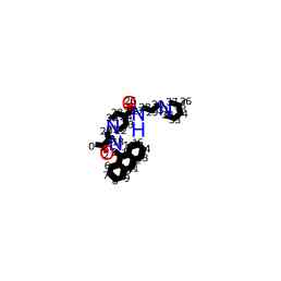 Cc1oc(-c2c3ccccc3cc3ccccc23)nc1CN1CCC(C(=O)NCCCN2CCC[C@@H](C)C2)CC1